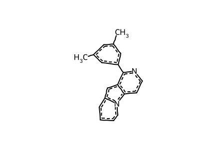 Cc1cc(C)cc(-c2nccc3c2cc2ccccn23)c1